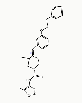 Cc1oncc1NC(=O)N1CC/C(=C\c2cccc(OCCc3ccccc3)c2)C(C)C1